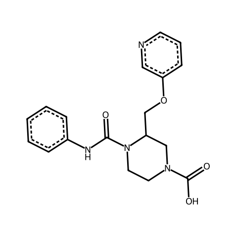 O=C(O)N1CCN(C(=O)Nc2ccccc2)C(COc2cccnc2)C1